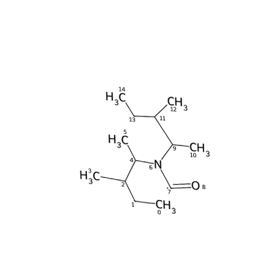 CCC(C)C(C)N([C]=O)C(C)C(C)CC